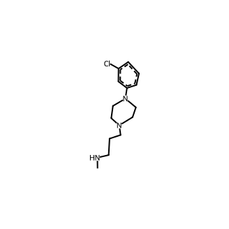 CNCCCN1CCN(c2cccc(Cl)c2)CC1